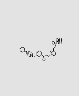 O=C(/C=C/c1cccc(/C=C/C(=O)c2cccc(CN3CCN(c4ccccc4)CC3)c2)n1)NO